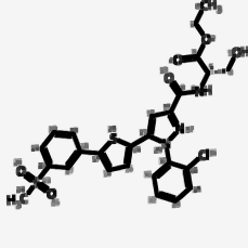 CCOC(=O)[C@H](CO)NC(=O)c1cc(-c2ccc(-c3cccc(S(C)(=O)=O)c3)s2)n(-c2ccccc2Cl)n1